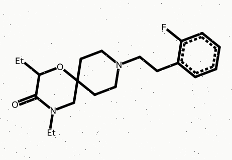 CCC1OC2(CCN(CCc3ccccc3F)CC2)CN(CC)C1=O